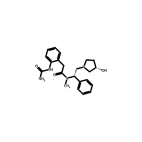 CN(C(=O)Cc1ccccc1NC(N)=O)[C@H](CN1CC[C@H](O)C1)c1ccccc1